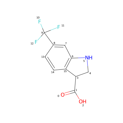 O=C(O)C1CNc2cc(C(F)(F)F)ccc21